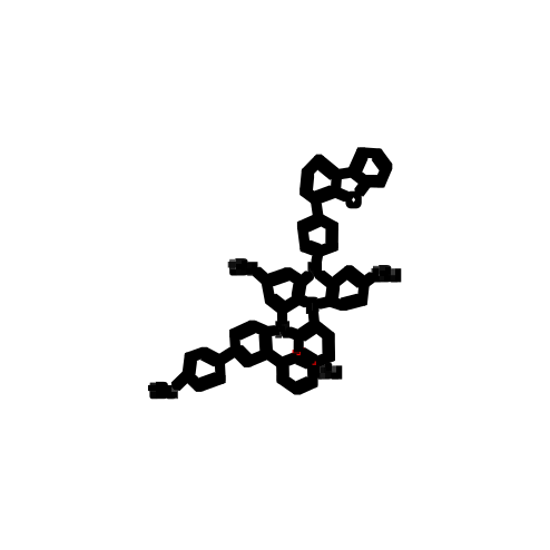 CC(C)(C)c1ccc(-c2ccc(N3c4cc(C(C)(C)C)ccc4B4c5ccc(C(C)(C)C)cc5N(c5ccc(-c6cccc7c6oc6ccccc67)cc5)c5cc(C(C)(C)C)cc3c54)c(-c3ccccc3)c2)cc1